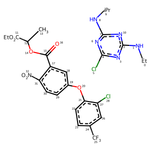 CCNc1nc(Cl)nc(NC(C)C)n1.CCOC(=O)C(C)OC(=O)c1cc(Oc2ccc(C(F)(F)F)cc2Cl)ccc1[N+](=O)[O-]